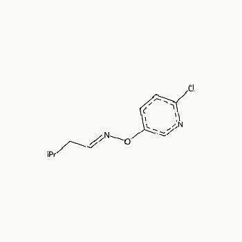 CC(C)CC=NOc1ccc(Cl)nc1